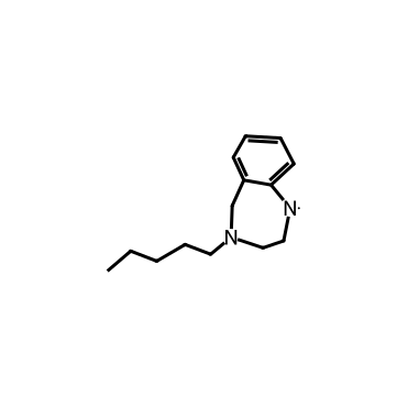 CCCCCN1CC[N]c2ccccc2C1